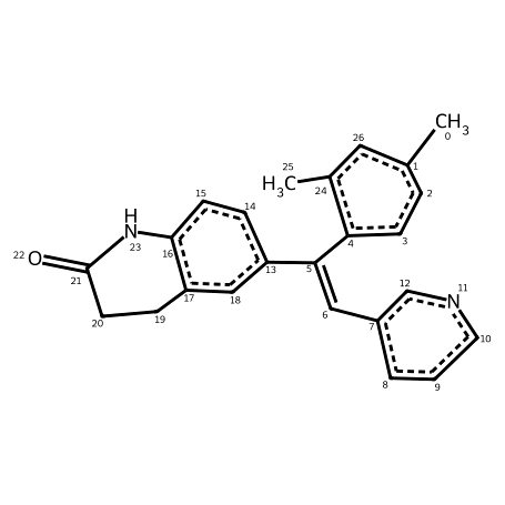 Cc1ccc(C(=Cc2cccnc2)c2ccc3c(c2)CCC(=O)N3)c(C)c1